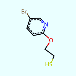 SCCOc1ccc(Br)cn1